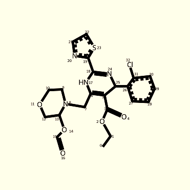 CCOC(=O)C1=C(CN2CCOCC2OC=O)NC(c2nccs2)=NC1c1ccccc1Cl